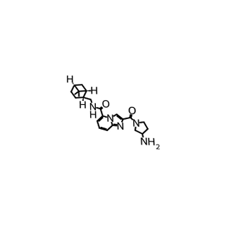 CC1(C)[C@H]2CC[C@@H](CNC(=O)c3cccc4nc(C(=O)N5CCC(N)C5)cn34)[C@H]1C2